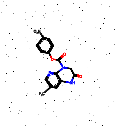 O=C1CN(C(=O)Oc2ccc([N+](=O)[O-])cc2)c2ncc(C(F)(F)F)cc2N1